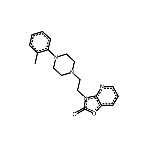 Cc1ccccc1N1CCN(CCn2c(=O)oc3cccnc32)CC1